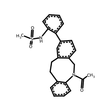 CC(=O)N1Cc2ccc(-c3ccccc3NS(C)(=O)=O)cc2CCc2ccccc21